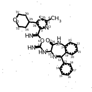 Cc1nc(C(=N)OC(=N)NC2N=C(c3ccccc3)c3ccccc3NC2=O)c(C2CCOCC2)s1